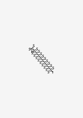 S=[SH](=S)S(=S)(=S)S(=S)(=S)S(=S)(=S)S(=S)(=S)S(=S)(=S)S(=S)(=S)S(=S)(=S)S(=S)(=S)S(=S)(=S)I